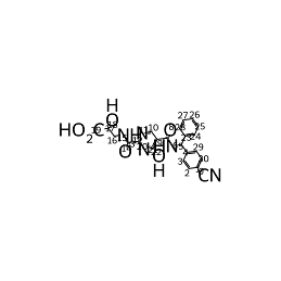 N#Cc1ccc(C(NC(=O)c2cnc(C(=O)NCC(O)C(=O)O)nc2O)c2ccccc2)cc1